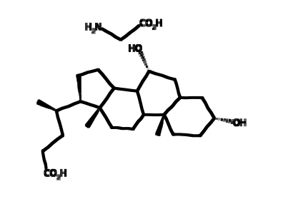 C[C@H](CCC(=O)O)[C@H]1CCC2C3C(CC[C@@]21C)[C@@]1(C)CC[C@@H](O)CC1C[C@H]3O.NCC(=O)O